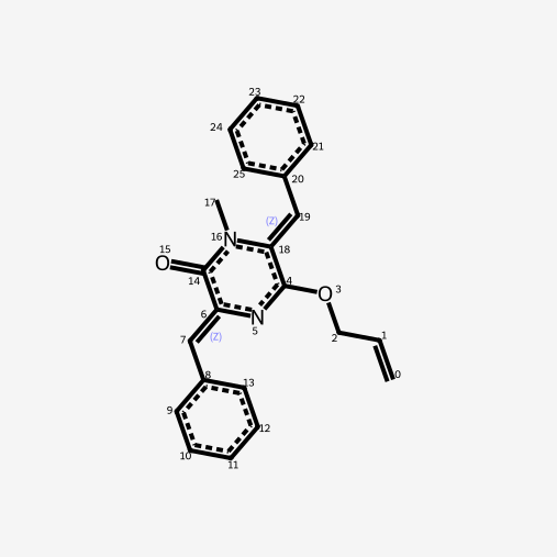 C=CCOc1n/c(=C\c2ccccc2)c(=O)n(C)/c1=C\c1ccccc1